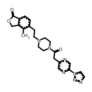 Cc1c(CCN2CCN(C(=O)Cc3cnc(-n4ccnn4)cn3)CC2)ccc2c1COC2=O